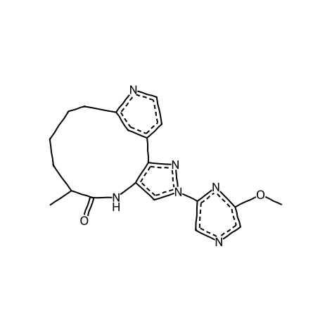 COc1cncc(-n2cc3c(n2)-c2ccnc(c2)CCCCC(C)C(=O)N3)n1